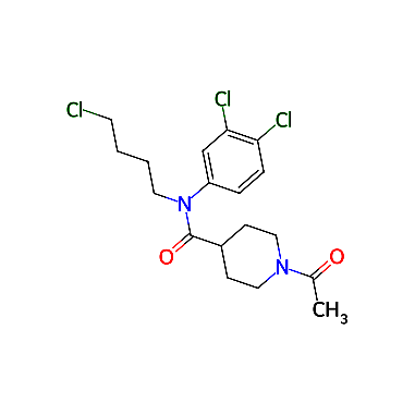 CC(=O)N1CCC(C(=O)N(CCCCCl)c2ccc(Cl)c(Cl)c2)CC1